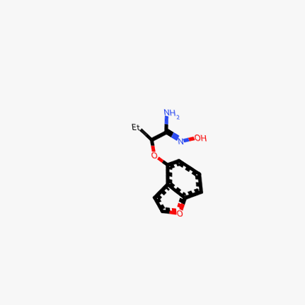 CCC(Oc1cccc2occc12)C(N)=NO